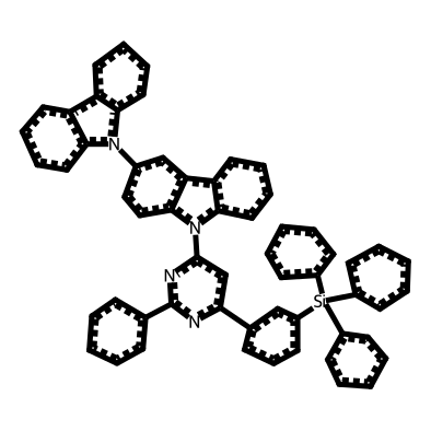 c1ccc(-c2nc(-c3cccc([Si](c4ccccc4)(c4ccccc4)c4ccccc4)c3)cc(-n3c4ccccc4c4cc(-n5c6ccccc6c6ccccc65)ccc43)n2)cc1